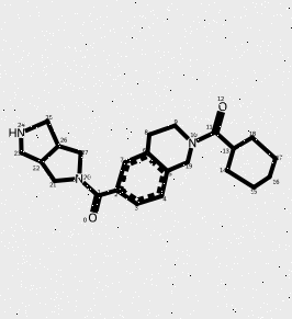 O=C(c1ccc2c(c1)CCN(C(=O)C1CCCCC1)C2)N1CC2CNCC2C1